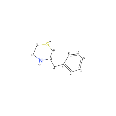 c1ccc(CC2CSCC[N]2)cc1